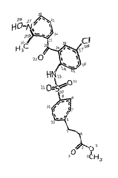 COC(=O)CCc1ccc(S(=O)(=O)Nc2ccc(Cl)cc2C(=O)c2ccc[n+](O)c2C)cc1